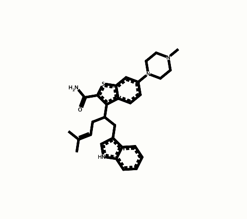 CC(C)=CCC(Cc1c[nH]c2ccccc12)c1c(C(N)=O)sc2cc(N3CCN(C)CC3)ccc12